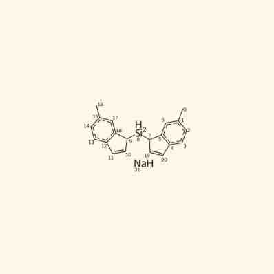 Cc1ccc2c(c1)C([SiH2]C1C=Cc3ccc(C)cc31)C=C2.[NaH]